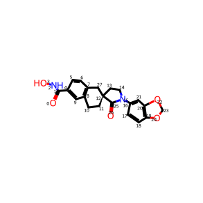 O=C(NO)c1ccc2c(c1)CC[C@]1(CCN(c3ccc4c(c3)OCO4)C1=O)C2